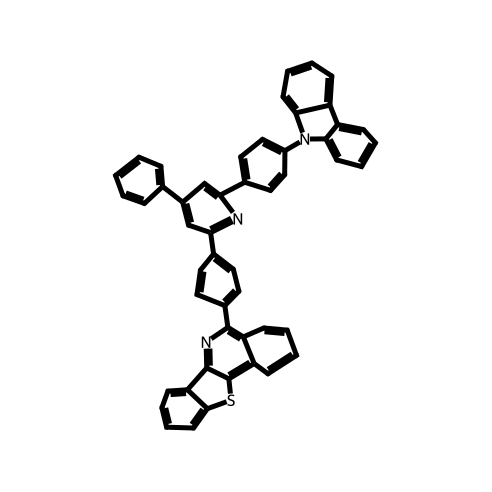 c1ccc(-c2cc(-c3ccc(-c4nc5c6ccccc6sc5c5ccccc45)cc3)nc(-c3ccc(-n4c5ccccc5c5ccccc54)cc3)c2)cc1